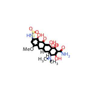 COc1cc(N[SH](=O)=O)c(O)c2c1C[C@H]1C[C@H]3[C@H](N(C)C)C(O)=C(C(N)=O)C(=O)[C@@]3(O)C(O)=C1C2=O